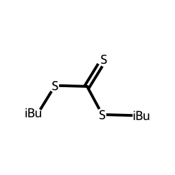 CCC(C)SC(=S)SC(C)CC